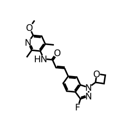 COc1cc(C)c(NC(=O)/C=C/c2ccc3c(F)nn(C4CCO4)c3c2)c(C)n1